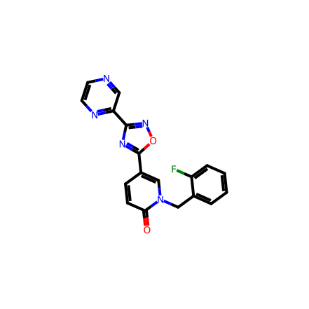 O=c1ccc(-c2nc(-c3cnccn3)no2)cn1Cc1ccccc1F